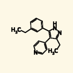 CCc1cccc(-c2[nH]nc(CC)c2-c2ccncc2)c1